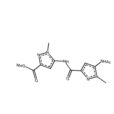 COC(=O)c1cc(NC(=O)c2cc(NC(C)=O)n(C)n2)n(C)n1